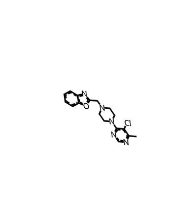 Cc1ncnc(N2CCN(Cc3nc4ccccc4o3)CC2)c1Cl